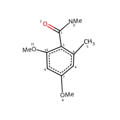 CNC(=O)c1c(C)cc(OC)cc1OC